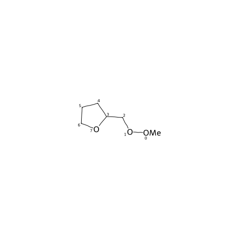 COOCC1CCCO1